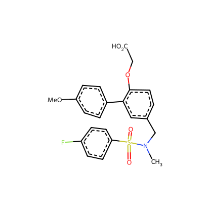 COc1ccc(-c2cc(CN(C)S(=O)(=O)c3ccc(F)cc3)ccc2OCC(=O)O)cc1